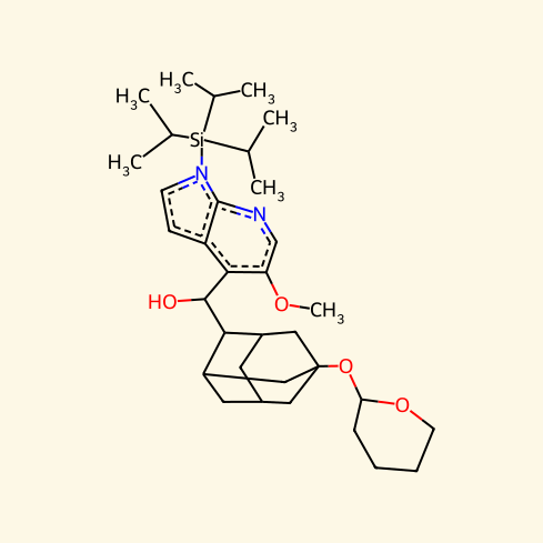 COc1cnc2c(ccn2[Si](C(C)C)(C(C)C)C(C)C)c1C(O)C1C2CC3CC1CC(OC1CCCCO1)(C3)C2